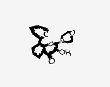 O=c1c(O)c(N2CCOCC2)oc2c(-c3ccccc3)cccc12